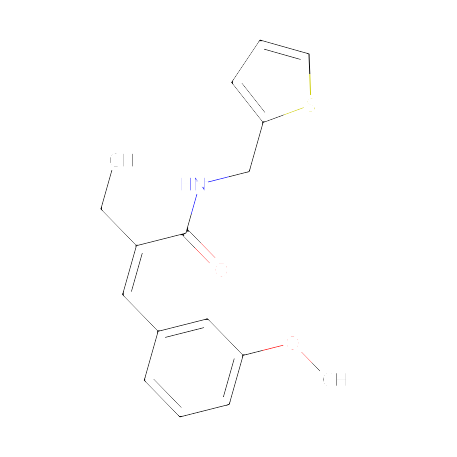 CCC(=Cc1cccc(OC)c1)C(=O)NCc1cccs1